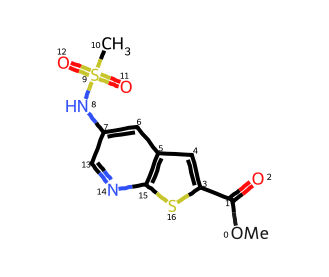 COC(=O)c1cc2cc(NS(C)(=O)=O)cnc2s1